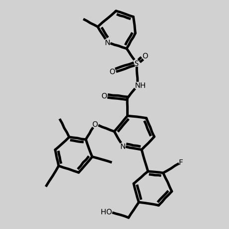 Cc1cc(C)c(Oc2nc(-c3cc(CO)ccc3F)ccc2C(=O)NS(=O)(=O)c2cccc(C)n2)c(C)c1